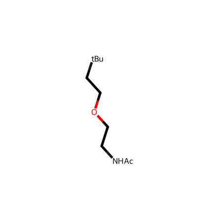 CC(=O)NCCOCCC(C)(C)C